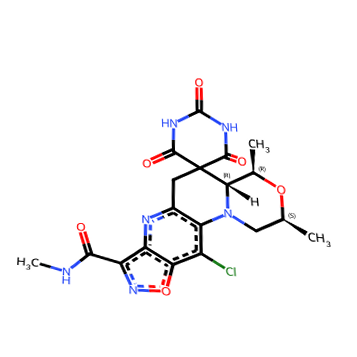 CNC(=O)c1noc2c(Cl)c3c(nc12)CC1(C(=O)NC(=O)NC1=O)[C@@H]1[C@@H](C)O[C@@H](C)CN31